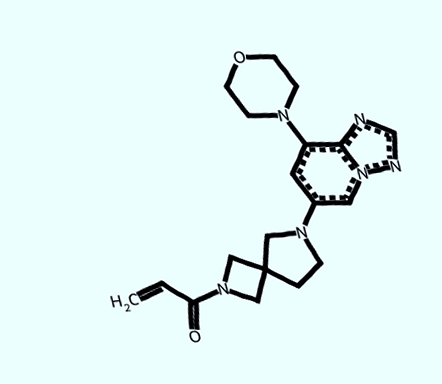 C=CC(=O)N1CC2(CCN(c3cc(N4CCOCC4)c4ncnn4c3)C2)C1